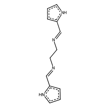 C(=NCCN=Cc1ccc[nH]1)c1ccc[nH]1